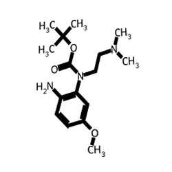 COc1[c]cc(N)c(N(CCN(C)C)C(=O)OC(C)(C)C)c1